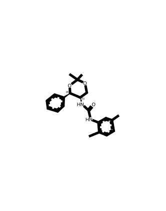 Cc1ccc(C)c(NC(=O)N[C@H]2COC(C)(C)O[C@@H]2c2ccccc2)c1